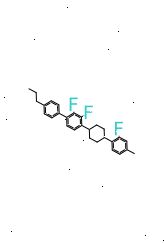 CCCc1ccc(-c2ccc(C3CCC(c4ccc(C)cc4F)CC3)c(F)c2F)cc1